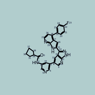 O=C(Nc1cncc(-c2cnc3[nH]nc(-c4cc5c(-c6ccc(F)cc6)ccnc5[nH]4)c3c2)c1)C1CCCC1